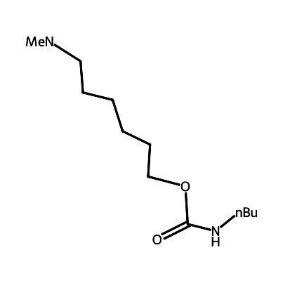 CCCCNC(=O)OCCCCCCNC